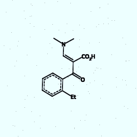 CCc1ccccc1C(=O)C(=CN(C)C)C(=O)O